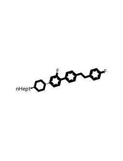 CCCCCCC[C@H]1CC[C@H](c2ccc(-c3ccc(CCc4ccc(F)cc4)cc3)c(F)c2)CC1